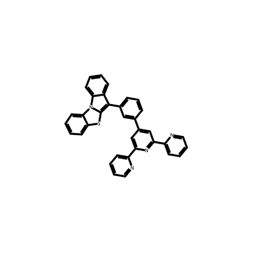 c1ccc(-c2cc(-c3cccc(-c4c5ccccc5n5c4sc4ccccc45)c3)cc(-c3ccccn3)n2)nc1